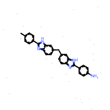 Cc1ccc(-c2nc3ccc(Cc4ccc5nc(-c6ccc(N)cc6)[nH]c5c4)cc3[nH]2)cc1